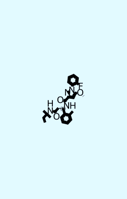 CCC(C)(C)NC(=O)C[C@H](NC(=O)c1cc(OC)n(-c2ccccc2F)n1)c1ccccc1C